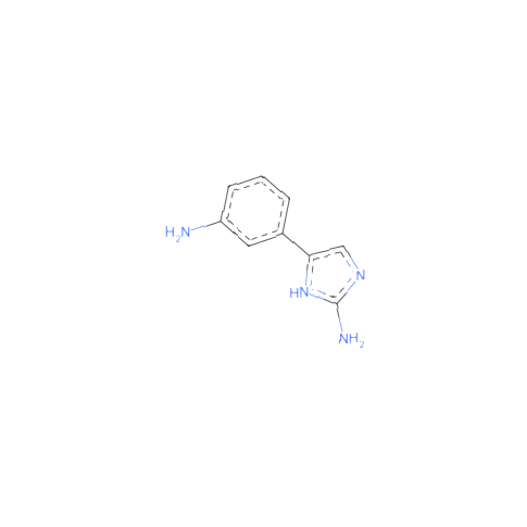 Nc1cccc(-c2cnc(N)[nH]2)c1